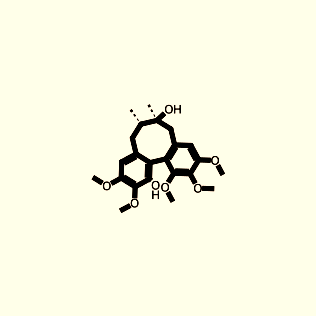 COc1cc2c(c(O)c1OC)-c1c(cc(OC)c(OC)c1OC)C[C@](C)(O)[C@@H](C)C2